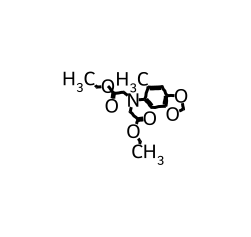 CCOC(=O)CN(CC(=O)OCC)c1cc2c(cc1C)OCO2